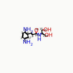 Nc1ccc(N)c(/C=C/C(=O)NC(CO)CO)c1